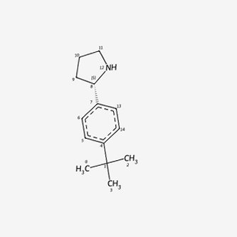 CC(C)(C)c1ccc([C@@H]2CCCN2)cc1